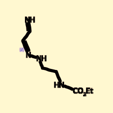 CCOC(=O)NCCN/N=C\C=N